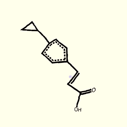 O=C(O)/C=C/c1ccc(C2CC2)cc1